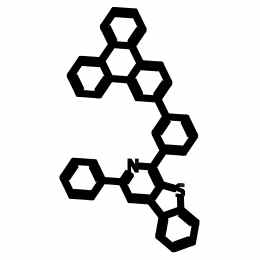 c1ccc(-c2cc3c(sc4ccccc43)c(-c3cccc(-c4ccc5c6ccccc6c6ccccc6c5c4)c3)n2)cc1